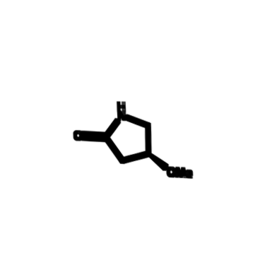 CO[C@@H]1CNC(=O)C1